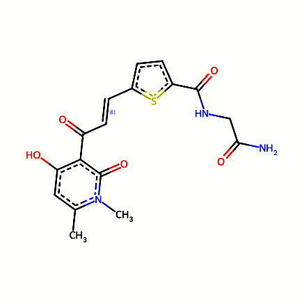 Cc1cc(O)c(C(=O)/C=C/c2ccc(C(=O)NCC(N)=O)s2)c(=O)n1C